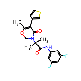 CC1=C(c2ccsc2)C(=O)N(C(C)(C)C(=O)Nc2cc(F)cc(F)c2)CO1